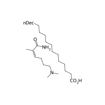 CC(=CCCCN(C)C)C(N)=O.CCCCCCCCCCCCCCCCCCCCCC(=O)O